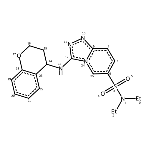 CCN(CC)S(=O)(=O)c1ccc2nnc(NC3CCOc4ccccc43)n2c1